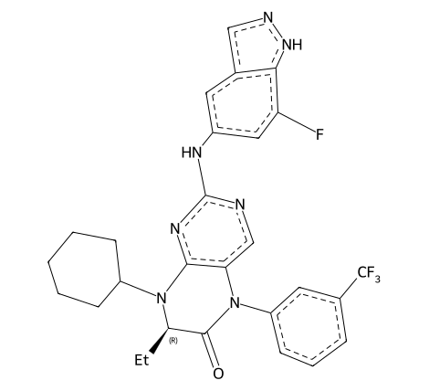 CC[C@@H]1C(=O)N(c2cccc(C(F)(F)F)c2)c2cnc(Nc3cc(F)c4[nH]ncc4c3)nc2N1C1CCCCC1